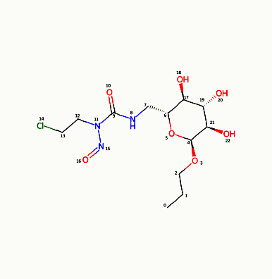 CCCO[C@H]1O[C@H](CNC(=O)N(CCCl)N=O)[C@@H](O)[C@H](O)[C@H]1O